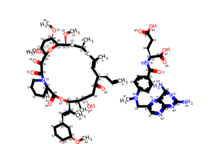 C=CC[C@@H]1/C=C(\C)C[C@H](C)C[C@H](OC)[C@H]2O[C@@](O)(C(=O)C(=O)N3CCCC[C@H]3C(=O)O[C@H](/C(C)=C/[C@@H]3CC[C@@H](O)[C@H](OC)C3)[C@H](C)[C@@H](O)CC1=O)[C@H](C)C[C@@H]2OC.CN(Cc1cnc2nc(N)nc(N)c2n1)c1ccc(C(=O)N[C@@H](CCC(=O)O)C(=O)O)cc1